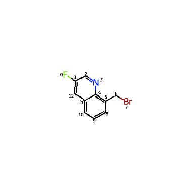 Fc1cnc2c(CBr)cccc2c1